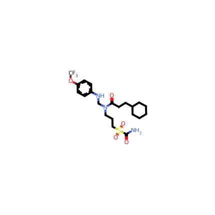 NC(=O)S(=O)(=O)CCCN(CNc1ccc(OC(F)(F)F)cc1)C(=O)[CH]CC1CCCCC1